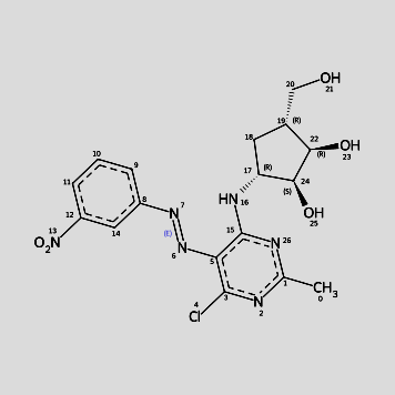 Cc1nc(Cl)c(/N=N/c2cccc([N+](=O)[O-])c2)c(N[C@@H]2C[C@H](CO)[C@@H](O)[C@H]2O)n1